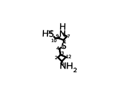 NC1CC(CSC2CNC2CS)C1